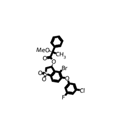 CO[C@](C)(C(=O)O[C@H]1CS(=O)(=O)c2ccc(Oc3cc(F)cc(Cl)c3)c(Br)c21)c1ccccc1